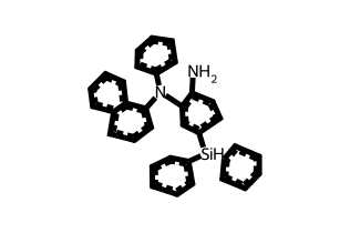 Nc1ccc([SiH](c2ccccc2)c2ccccc2)cc1N(c1ccccc1)c1cccc2ccccc12